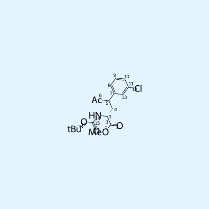 COC(=O)[C@@H](CC(C(C)=O)c1cccc(Cl)c1)NC(=O)OC(C)(C)C